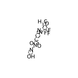 COc1ccc(Cn2ncc3cc(/C=C4\SC(=O)N(CCN5CCC(O)CC5)C4=O)ccc32)c(C(F)(F)F)c1